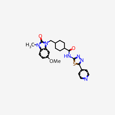 COc1ccc2c(c1)n(CC1CCC(C(=O)Nc3nnc(-c4ccncc4)s3)CC1)c(=O)n2C